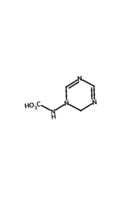 O=C(O)NN1C=NC=NC1